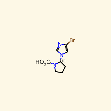 O=C(O)N1CCC[C@H]1n1cnc(Br)c1